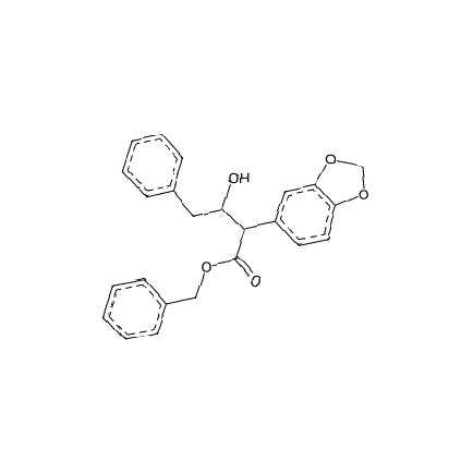 O=C(OCc1ccccc1)C(c1ccc2c(c1)OCO2)C(O)Cc1ccccc1